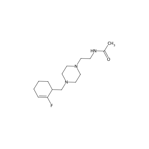 CC(=O)NCCN1CCN(CC2CCCC=C2F)CC1